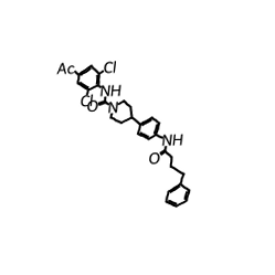 CC(=O)c1cc(Cl)c(NC(=O)N2CCC(c3ccc(NC(=O)CCCc4ccccc4)cc3)CC2)c(Cl)c1